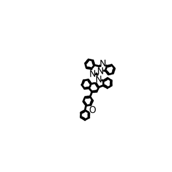 c1ccc2c(c1)nc(-n1c3ccccc3c3cc(-c4ccc5c(c4)oc4ccccc45)c4ccccc4c31)n1c3ccccc3nc21